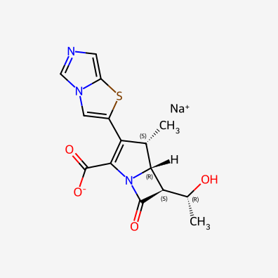 C[C@@H](O)[C@H]1C(=O)N2C(C(=O)[O-])=C(c3cn4cncc4s3)[C@H](C)[C@H]12.[Na+]